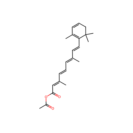 CC(=O)OC(=O)/C=C(C)/C=C/C=C(C)/C=C/C1=C(C)C=CCC1(C)C